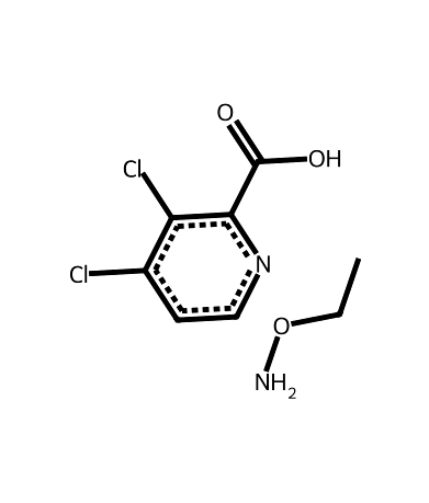 CCON.O=C(O)c1nccc(Cl)c1Cl